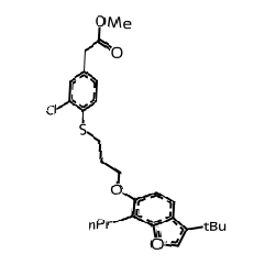 CCCc1c(OCCCSc2ccc(CC(=O)OC)cc2Cl)ccc2c(C(C)(C)C)coc12